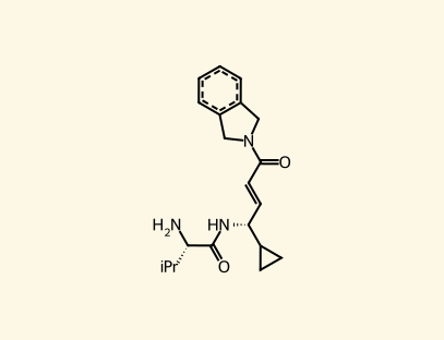 CC(C)[C@H](N)C(=O)N[C@H](C=CC(=O)N1Cc2ccccc2C1)C1CC1